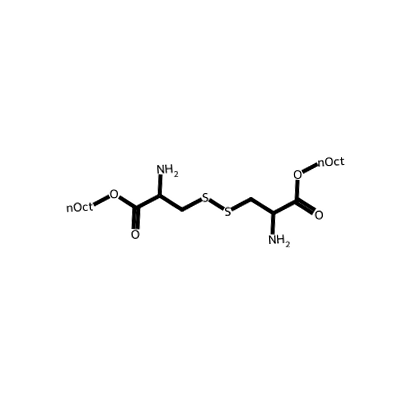 CCCCCCCCOC(=O)C(N)CSSCC(N)C(=O)OCCCCCCCC